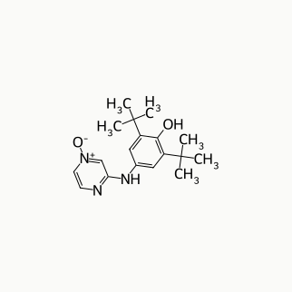 CC(C)(C)c1cc(Nc2c[n+]([O-])ccn2)cc(C(C)(C)C)c1O